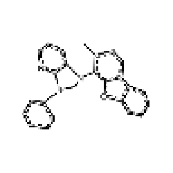 Cc1ccc2c(oc3ccccc32)c1N1CN(c2ccccc2)c2ncccc21